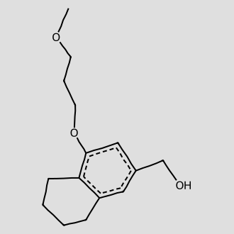 COCCCOc1cc(CO)cc2c1CCCC2